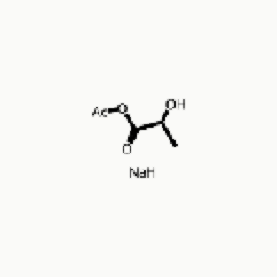 CC(=O)OC(=O)C(C)O.[NaH]